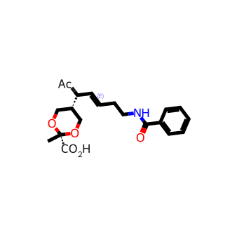 CC(=O)C(/C=C/CCNC(=O)c1ccccc1)[C@H]1CO[C@@](C)(C(=O)O)OC1